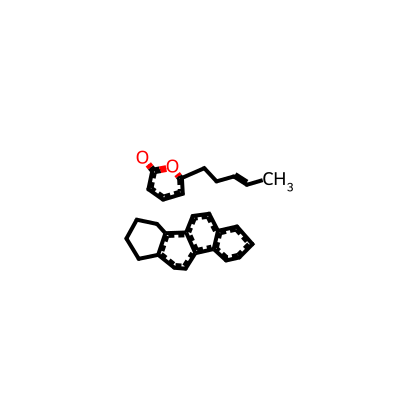 CC=CCCc1cccc(=O)o1.c1ccc2c(c1)ccc1c3c(ccc12)CCCC3